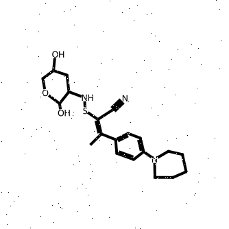 C/C(=C(/C#N)SNC1CC(O)COC1O)c1ccc(N2CCCCC2)cc1